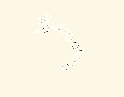 CS(=O)(=O)Nc1cc(OC[C@@H](O)CNC2CCC(c3ccc(C(=O)N4CCC(Cc5ccccc5)CC4)cc3)CC2)ccc1O